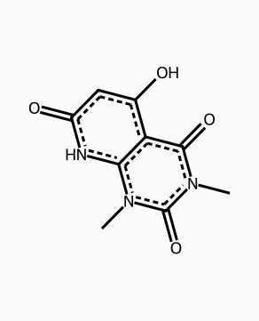 Cn1c(=O)c2c(O)cc(=O)[nH]c2n(C)c1=O